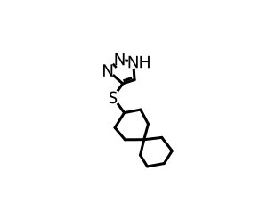 c1[nH]nnc1SC1CCC2(CCCCC2)CC1